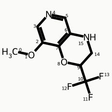 COc1cncc2c1OC(C(F)(F)F)CN2